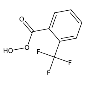 O=C(OO)c1ccccc1C(F)(F)F